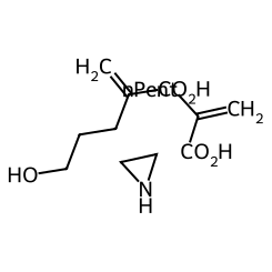 C1CN1.C=C(CCCCC)C(=O)O.C=C(CCCO)C(=O)O